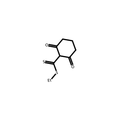 CCSC(=S)C1C(=O)CCCC1=O